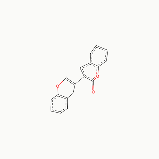 O=c1oc2ccccc2cc1C1=[C]Oc2ccccc2C1